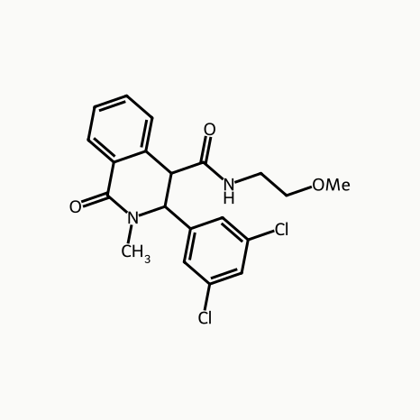 COCCNC(=O)C1c2ccccc2C(=O)N(C)C1c1cc(Cl)cc(Cl)c1